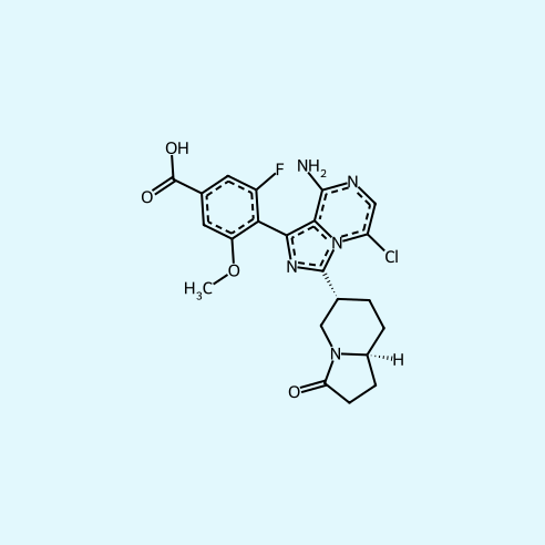 COc1cc(C(=O)O)cc(F)c1-c1nc([C@@H]2CC[C@H]3CCC(=O)N3C2)n2c(Cl)cnc(N)c12